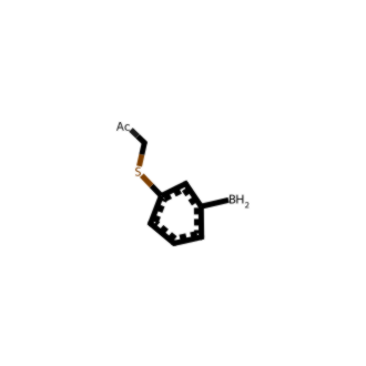 Bc1cccc(SCC(C)=O)c1